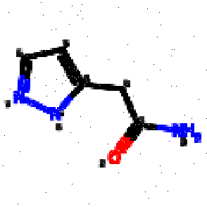 NC(=O)CC1=CC=N[N]1